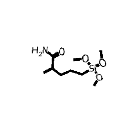 CO[Si](CCCC(C)C(N)=O)(OC)OC